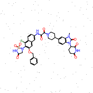 Cn1c(=O)n(C2CCC(=O)NC2=O)c2ccc(C3CCN(C(=O)C(=O)Nc4ccc5c(F)c(N6CC(=O)NS6(=O)=O)c(OCc6ccccc6)cc5c4)CC3)cc21